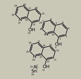 Oc1cccc2cccnc12.Oc1cccc2cccnc12.Oc1cccc2cccnc12.[Al].[Sn]